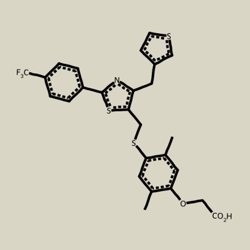 Cc1cc(SCc2sc(-c3ccc(C(F)(F)F)cc3)nc2Cc2ccsc2)c(C)cc1OCC(=O)O